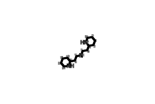 C1CCC(CC[N]CCC2CCCCN2)NC1